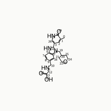 Cc1cc(C2Nc3ccc(CNCC(=O)O)cc3N2CC2CCOCC2)c[nH]c1=O